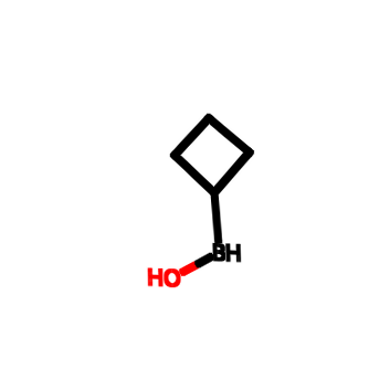 OBC1CCC1